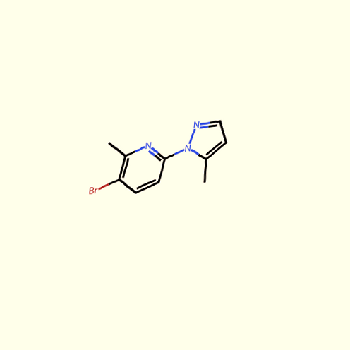 Cc1nc(-n2nccc2C)ccc1Br